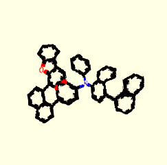 c1ccc(N(c2ccc(-c3cccc4cccc(-c5cccc6c5oc5ccccc56)c34)cc2)c2ccc(-c3cccc4ccccc34)c3ccccc23)cc1